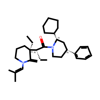 C=C1N(C=C(C)C)CCC[C@@]1(CC)[C@@H](CC)C(=O)N1CC[C@@H](c2ccccc2)C[C@H]1C1CCCCC1